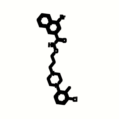 Cc1c(Cl)cccc1N1CCN(CCCONC(=O)c2cc(Br)c3ccccc3c2)CC1